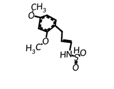 COc1ccc(CC=CN[SH](=O)=O)c(OC)c1